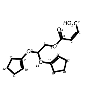 O=C(O)/C=C\C(=O)OCC(OC1=CCCC1)OC1=CCCC1